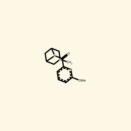 COc1cccc(C(=O)N2C3CC2CN(C)C3)n1